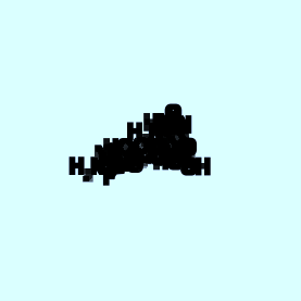 Nc1nc2c(ncn2[C@@H]2O[C@H](CO)[C@@H](O)[C@H]2OP(=O)(O)OCC[C@H]2O[C@@H](n3cc(F)c4c(N)ncnc43)[C@H](O)[C@@H]2O)c(=O)[nH]1